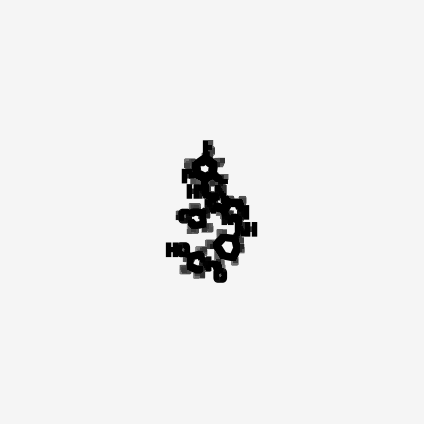 O=C([C@H]1CC[C@H](Nc2ncc3nc(Nc4c(F)cc(F)cc4F)n([C@H]4CCOC4)c3n2)CC1)N1CC[C@H](O)C1